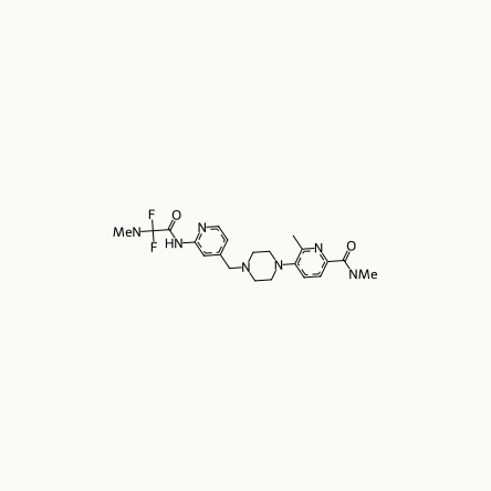 CNC(=O)c1ccc(N2CCN(Cc3ccnc(NC(=O)C(F)(F)NC)c3)CC2)c(C)n1